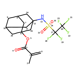 C=C(C)C(=O)OC12CC3CC(CC(NS(=O)(=O)C(F)(F)C(F)(F)F)(C3)C1)C2